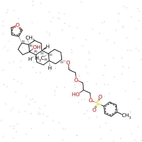 Cc1ccc(S(=O)(=O)OCC(O)COCCO[C@H]2CC[C@@]3(C)[C@H](CC[C@@H]4[C@@H]3CC[C@]3(C)[C@@H](c5ccoc5)CCC43O)C2)cc1